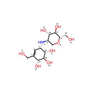 OCC1=C[C@H](N[C@@H]2CO[C@@H](CO)[C@H](O)[C@H]2O)[C@H](O)[C@@H](O)[C@@H]1O